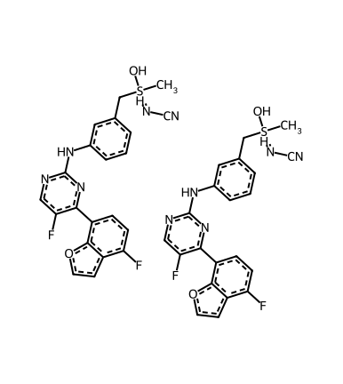 C[SH](O)(Cc1cccc(Nc2ncc(F)c(-c3ccc(F)c4ccoc34)n2)c1)=NC#N.C[SH](O)(Cc1cccc(Nc2ncc(F)c(-c3ccc(F)c4ccoc34)n2)c1)=NC#N